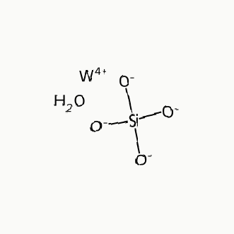 O.[O-][Si]([O-])([O-])[O-].[W+4]